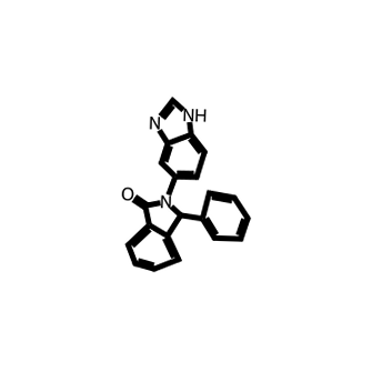 O=C1c2ccccc2C(c2ccccc2)N1c1ccc2[nH]cnc2c1